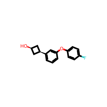 O[C@H]1C[C@@H](c2cccc(Oc3ccc(F)cc3)c2)C1